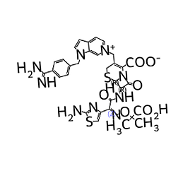 CC(C)(O/N=C(\C(=O)N[C@@H]1C(=O)N2C(C(=O)[O-])=C(C[n+]3ccc4ccn(Cc5ccc(C(=N)N)cc5)c4c3)CS[C@H]12)c1csc(N)n1)C(=O)O